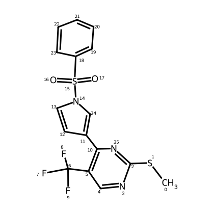 CSc1ncc(C(F)(F)F)c(-c2ccn(S(=O)(=O)c3ccccc3)c2)n1